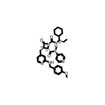 CC[C@@H](NC(=O)N1C(=O)[C@H](Cc2ccnc(NCc3ccc(OC)cc3)c2)[C@H]1C(=O)N(C)c1ccncc1)C1CCCCC1